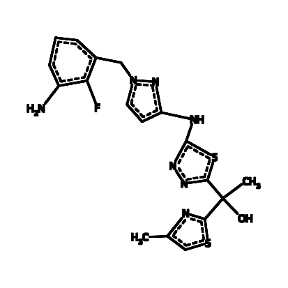 Cc1csc(C(C)(O)c2nnc(Nc3ccn(Cc4cccc(N)c4F)n3)s2)n1